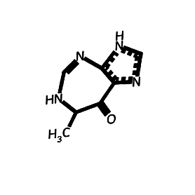 CC1NC=Nc2[nH]cnc2C1=O